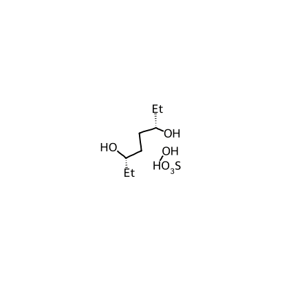 CC[C@H](O)CC[C@@H](O)CC.O=S(=O)(O)O